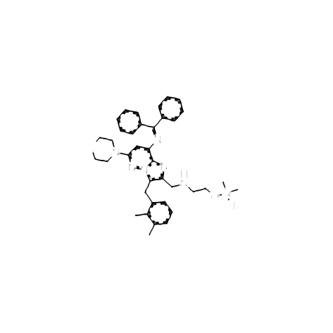 Cc1cccc(Cc2c(CNCCO[Si](C)(C)C(C)(C)C)nc3c(N=C(c4ccccc4)c4ccccc4)cc(N4CCOCC4)nn23)c1C